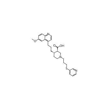 COc1ccc2nccc(CCC[C@@H]3CCN(CCCSc4cccnc4)C[C@@H]3C(=O)O)c2c1